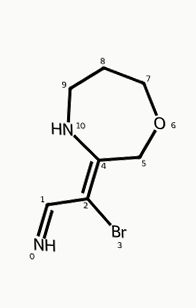 N=C/C(Br)=C1/COCCCN1